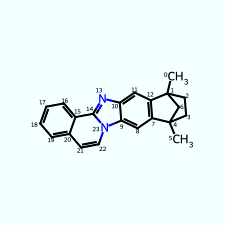 CC12CCC(C)(C1)c1cc3c(cc12)nc1c2ccccc2ccn31